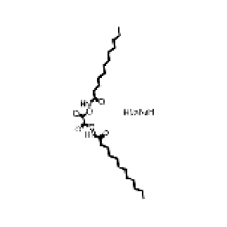 CCCCCCCCCCCC(=O)NOC(=O)C(=O)ONC(=O)CCCCCCCCCCC.[NaH].[NaH]